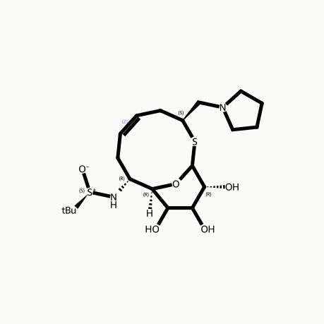 CC(C)(C)[S@@+]([O-])N[C@@H]1C/C=C\C[C@@H](CN2CCCC2)SC2O[C@H]1C(O)C(O)[C@H]2O